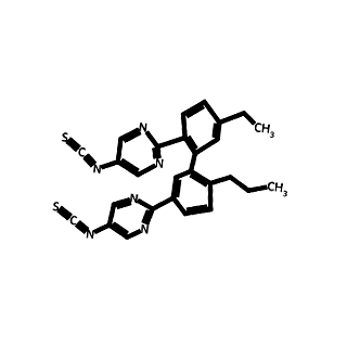 CCCc1ccc(-c2ncc(N=C=S)cn2)cc1-c1cc(CC)ccc1-c1ncc(N=C=S)cn1